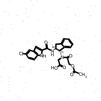 CC(=O)OCC(=O)N(CC(=O)O)[C@H]1c2ccccc2C[C@H]1NC(=O)c1cc2cc(Cl)ccc2[nH]1